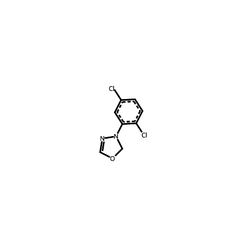 Clc1ccc(Cl)c(N2COC=N2)c1